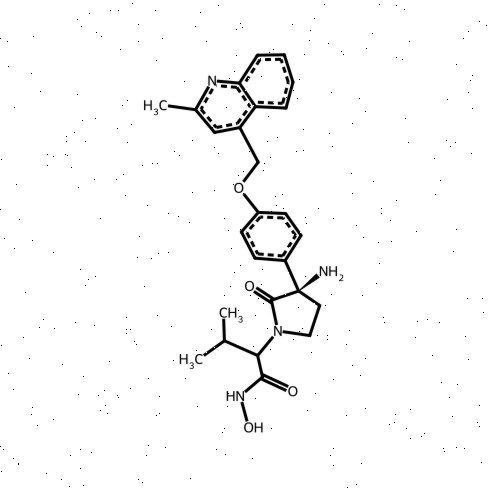 Cc1cc(COc2ccc([C@]3(N)CCN(C(C(=O)NO)C(C)C)C3=O)cc2)c2ccccc2n1